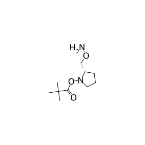 CC(C)(C)C(=O)ON1CCC[C@H]1CON